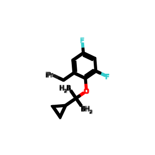 BC(B)(Oc1c(F)cc(F)cc1CC(C)C)C1CC1